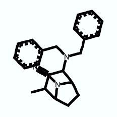 CC1CC(N(Cc2ccccc2)Cc2ccccc2)C2CCC1N2C#N